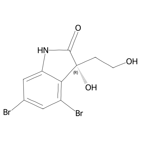 O=C1Nc2cc(Br)cc(Br)c2[C@]1(O)CCO